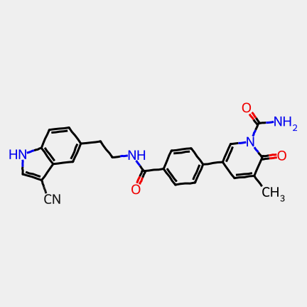 Cc1cc(-c2ccc(C(=O)NCCc3ccc4[nH]cc(C#N)c4c3)cc2)cn(C(N)=O)c1=O